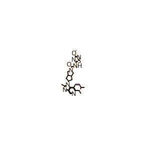 CCc1ncc2nc(C)n(C3CC4CN(C(=O)Nc5nc(OC)ns5)CC4C3)c2c1/C=C\C(C)C